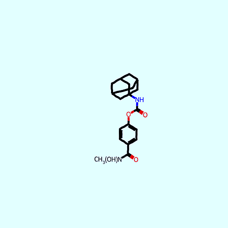 CN(O)C(=O)c1ccc(OC(=O)NC23CC4CC(CC(C4)C2)C3)cc1